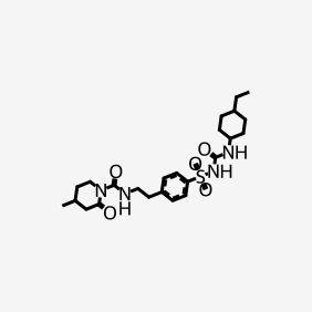 CCC1CCC(NC(=O)NS(=O)(=O)c2ccc(CCNC(=O)N3CCC(C)CC3=O)cc2)CC1